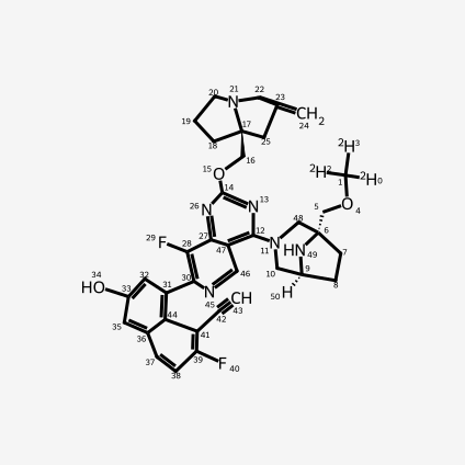 [2H]C([2H])([2H])OC[C@@]12CC[C@@H](CN(c3nc(OC[C@@]45CCCN4CC(=C)C5)nc4c(F)c(-c5cc(O)cc6ccc(F)c(C#C)c56)ncc34)C1)N2